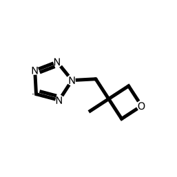 CC1(Cn2n[c]nn2)COC1